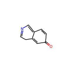 O=C1C=CC2=CN=CCC2=C1